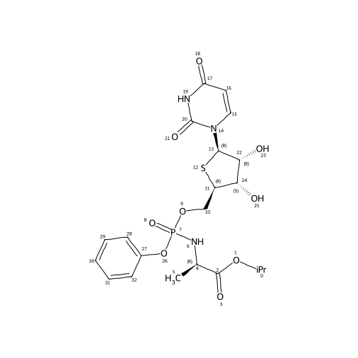 CC(C)OC(=O)[C@@H](C)NP(=O)(OC[C@H]1S[C@@H](n2ccc(=O)[nH]c2=O)[C@H](O)[C@@H]1O)Oc1ccccc1